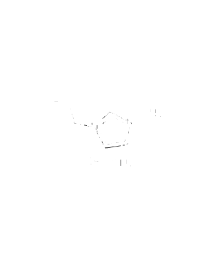 CCn1cc[n+](C)c1.C[O-]